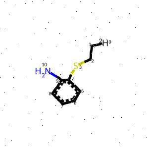 [2H]CCSc1ccccc1N